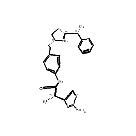 C[C@H](C(=O)Nc1ccc(C[C@@H]2CC[C@H]([C@H](O)c3ccccc3)N2)cc1)c1csc(N)n1